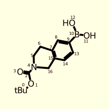 CC(C)(C)OC(=O)N1CCc2cc(B(O)O)ccc2C1